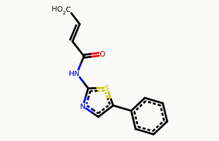 O=C(O)C=CC(=O)Nc1ncc(-c2ccccc2)s1